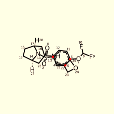 O=S(=O)(c1ccc(OC(F)F)cc1)N1[C@@H]2CC[C@H]1CC(NCC1COC1)C2